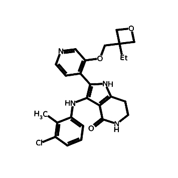 CCC1(COc2cnccc2-c2[nH]c3c(c2Nc2cccc(Cl)c2C)C(=O)NCC3)COC1